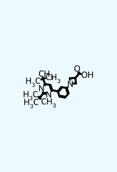 CC(C)(C)c1cc(-c2cccc(N3CC(C(=O)O)C3)c2)nc(C(C)(C)C)n1